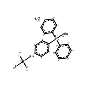 CCCC[PH](c1ccccc1)(c1ccccc1)c1ccccc1.F[B-](F)(F)F.O